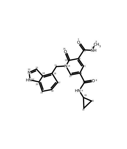 CNC(=O)c1cc(C(=O)NC2CC2)cn(Cc2cccc3[nH]ncc23)c1=O